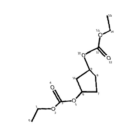 CCOC(=O)OC1CCC(OC(=O)OCC)C1